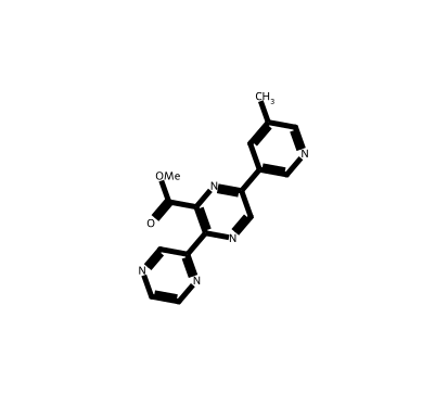 COC(=O)c1nc(-c2cncc(C)c2)cnc1-c1cnccn1